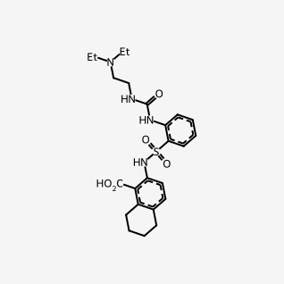 CCN(CC)CCNC(=O)Nc1ccccc1S(=O)(=O)Nc1ccc2c(c1C(=O)O)CCCC2